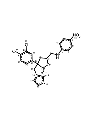 CN1OC(CNc2ccc([N+](=O)[O-])cc2)CC1(Cn1ccnc1)c1ccc(Cl)c(Cl)c1